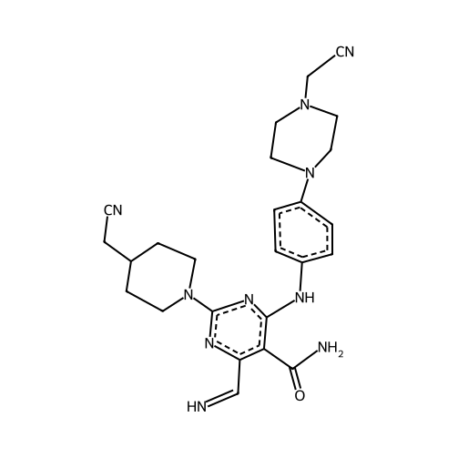 N#CCC1CCN(c2nc(C=N)c(C(N)=O)c(Nc3ccc(N4CCN(CC#N)CC4)cc3)n2)CC1